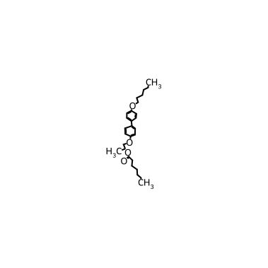 CCCCCCOc1ccc(-c2ccc(OCC(C)OC(=O)CCCCCC)cc2)cc1